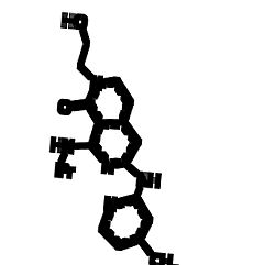 Cc1ccnc(Nc2cc3ccn(CCO)c(=O)c3c(NC(C)C)n2)c1